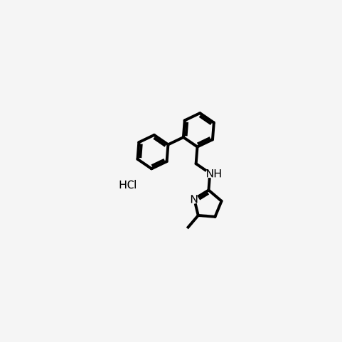 CC1CCC(NCc2ccccc2-c2ccccc2)=N1.Cl